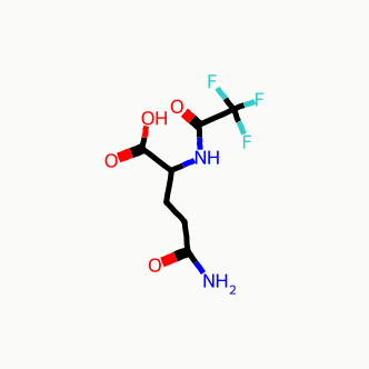 NC(=O)CCC(NC(=O)C(F)(F)F)C(=O)O